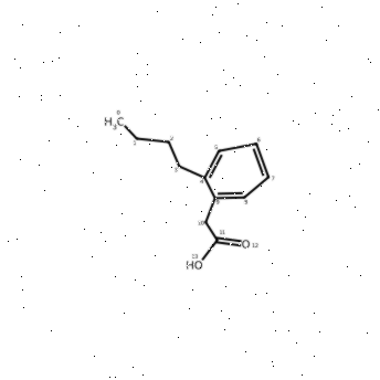 CCCCc1ccccc1CC(=O)O